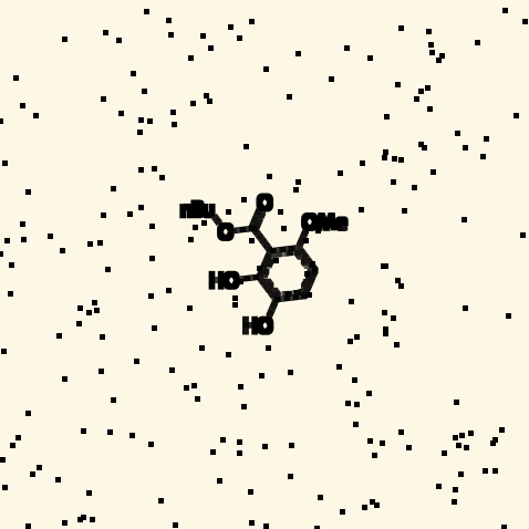 CCCCOC(=O)c1c(OC)ccc(O)c1O